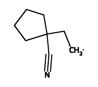 [CH2]CC1(C#N)CCCC1